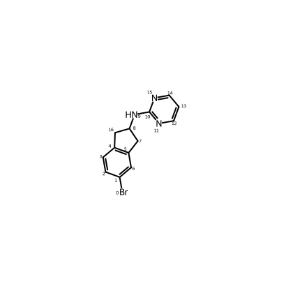 Brc1ccc2c(c1)CC(Nc1ncccn1)C2